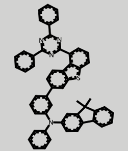 CC1(C)c2ccccc2-c2ccc(N(c3ccccc3)c3cccc(-c4ccc5c(c4)sc4cccc(-c6nc(-c7ccccc7)nc(-c7ccccc7)n6)c45)c3)cc21